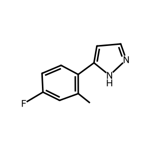 Cc1cc(F)ccc1-c1ccn[nH]1